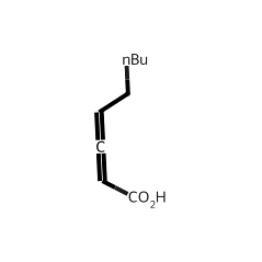 CCCCCC=C=CC(=O)O